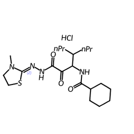 CCCC(CCC)C(NC(=O)C1CCCCC1)C(=O)C(=O)N/N=C1\SCCN1C.Cl